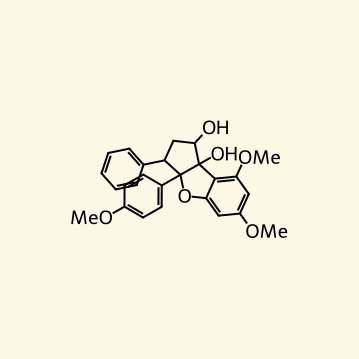 COc1ccc(C23Oc4cc(OC)cc(OC)c4C2(O)C(O)CC3c2ccccc2)cc1